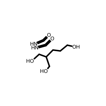 N=C=O.N=C=O.OCCCC(CO)CO